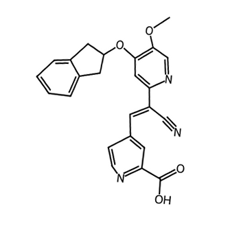 COc1cnc(C(C#N)=Cc2ccnc(C(=O)O)c2)cc1OC1Cc2ccccc2C1